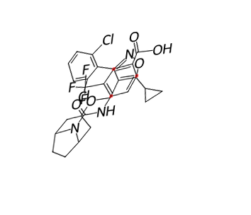 O=C(O)c1ccc(NC(=O)N2C3CCC2CC(OCc2c(-c4c(Cl)cccc4Cl)noc2C2CC2)C3)c(C(F)(F)F)c1